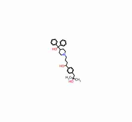 CC(C)(O)Cc1ccc(C(O)CCCN2CCC(C(O)(c3ccccc3)c3ccccc3)CC2)cc1